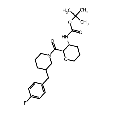 CC(C)(C)OC(=O)N[C@@H]1CCCO[C@H]1C(=O)N1CCCC(Cc2ccc(F)cc2)C1